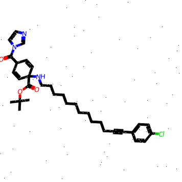 CC(C)(C)OC(=O)C1(NCCCCCCCCCCCC#Cc2ccc(Cl)cc2)C=CC(C(=O)n2ccnc2)C=C1